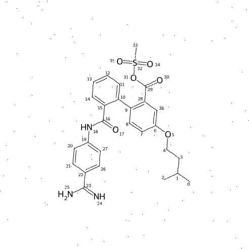 CC(C)CCOc1ccc(-c2ccccc2C(=O)Nc2ccc(C(=N)N)cc2)c(C(=O)OS(C)(=O)=O)c1